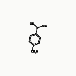 CCCCN(N=O)c1ccc(C(=O)O)cc1